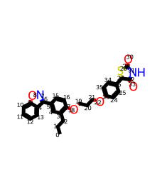 CCCc1cc(-c2noc3ccccc23)ccc1OCCCOc1ccc(C2SC(=O)NC2=O)cc1